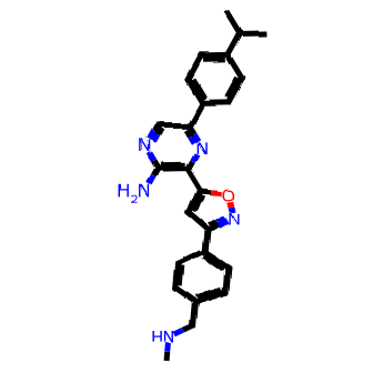 CNCc1ccc(-c2cc(-c3nc(-c4ccc(C(C)C)cc4)cnc3N)on2)cc1